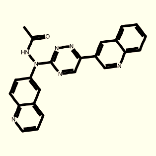 CC(=O)NN(c1ccc2ncccc2c1)c1ncc(-c2cnc3ccccc3c2)nn1